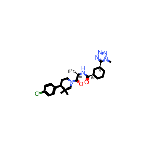 CC(C)[C@@H](NC(=O)[C@@H]1CCC[C@H](c2nnnn2C)C1)C(=O)N1CCC(c2ccc(Cl)cc2)C(C)(C)C1